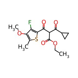 CCOC(=O)C(C(=O)c1sc(C)c(OC)c1F)C(=O)C1CC1